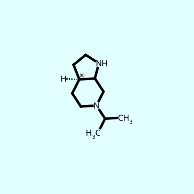 CC(C)N1CC[C@H]2CCNC2C1